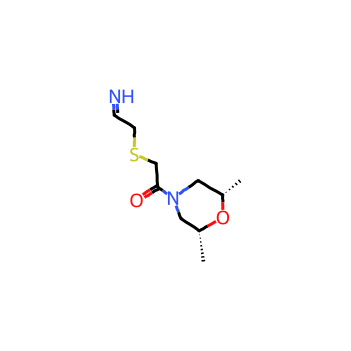 C[C@@H]1CN(C(=O)CSCC=N)C[C@H](C)O1